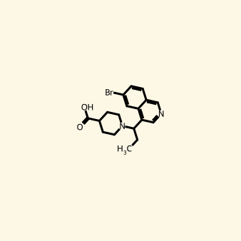 CCC(c1cncc2ccc(Br)cc12)N1CCC(C(=O)O)CC1